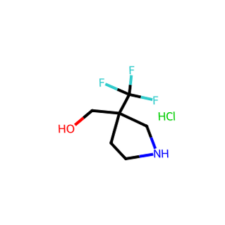 Cl.OCC1(C(F)(F)F)CCNC1